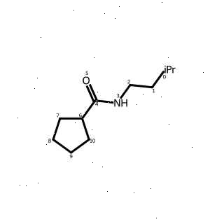 CC(C)CCNC(=O)C1CCCC1